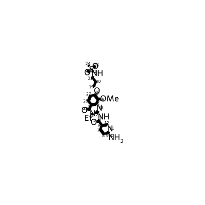 CCn1c(NC(=O)c2ccc(N)nc2)nc2c(OC)c(OCCCNS(C)(=O)=O)ccc2c1=O